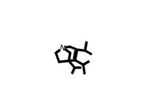 CC(C)C1=C(C(C)C)C2(C(C)C)CCN(C1)C2